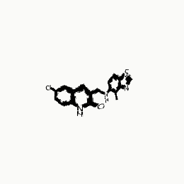 Cc1c(NCc2cc3cc(Cl)ccc3[nH]c2=O)ccc2scnc12